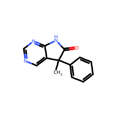 CC1(c2ccccc2)C(=O)Nc2ncncc21